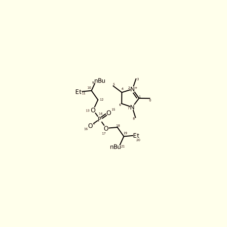 CC1=[N+](C)C(C)CN1C.CCCCC(CC)COP(=O)([O-])OCC(CC)CCCC